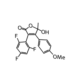 COc1ccc(C2=C(c3c(F)cc(F)cc3F)C(=O)OC2(C)O)cc1